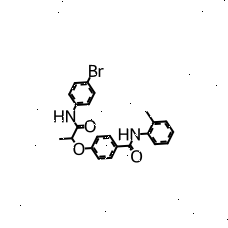 Cc1ccccc1NC(=O)c1ccc(OC(C)C(=O)Nc2ccc(Br)cc2)cc1